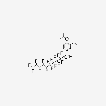 C=Cc1cc(C(F)C(F)(F)C(F)(F)C(F)(F)C(F)(F)C(F)(F)C(F)C(F)C(F)C(F)C(F)F)ccc1OC(C)C